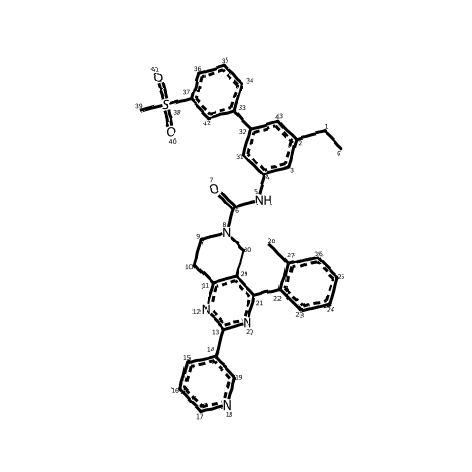 CCc1cc(NC(=O)N2CCc3nc(-c4cccnc4)nc(-c4ccccc4C)c3C2)cc(-c2cccc(S(C)(=O)=O)c2)c1